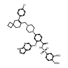 CNc1ccc(S(=O)(=O)NC(=O)c2ccc(N3CCN(CC4=C(c5ccc(Cl)cc5)CC5(CCC5)CC4)CC3)cc2Oc2cnc3[nH]ccc3c2)cc1N=O